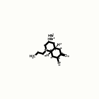 Br.Br.CCCN1CCC[C@H]2CC(=O)C(Br)C[C@@H]21